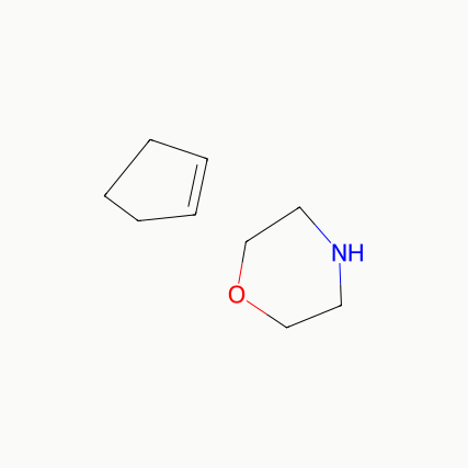 C1=CCCC1.C1COCCN1